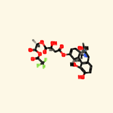 C[C@H](OC(=O)[C@@H](O)CC(=O)OC1=CC[C@@]2(O)[C@H]3Cc4ccc(O)c5c4[C@@]2(CCN3C)[C@H]1O5)C(=O)OC(=O)C(F)(F)F